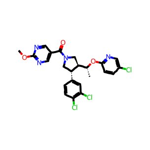 COc1ncc(C(=O)N2C[C@@H]([C@@H](C)Oc3ccc(Cl)cn3)[C@H](c3ccc(Cl)c(Cl)c3)C2)cn1